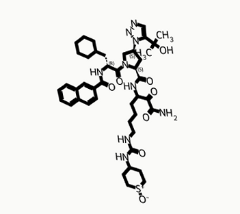 CC(C)(O)c1cnnn1[C@H]1C[C@@H](C(=O)NC(CCCCNC(=O)NC2CC[S+]([O-])CC2)C(=O)C(N)=O)N(C(=O)[C@@H](CC2CCCCC2)NC(=O)c2ccc3ccccc3c2)C1